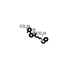 Cc1cc(C(=O)O)ccc1-c1cccc2c(CCCCN3CCCc4ccccc43)c(C(=O)O)[nH]c12